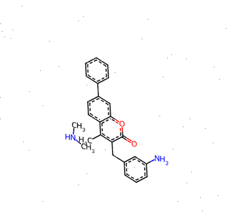 CNC.Cc1c(Cc2cccc(N)c2)c(=O)oc2cc(-c3ccccc3)ccc12